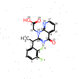 CC(c1cccc(F)c1F)c1nc(=O)c2cccnc2n1CC(=O)O